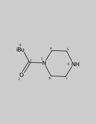 CCC(C)C(=O)N1CCNCC1